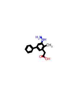 Cc1c(CC(=O)O)cc(-c2ccccc2)cc1NN